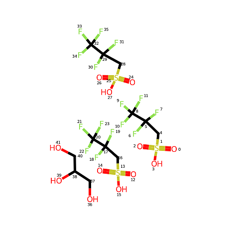 O=S(=O)(O)CC(F)(F)C(F)(F)F.O=S(=O)(O)CC(F)(F)C(F)(F)F.O=S(=O)(O)CC(F)(F)C(F)(F)F.OCC(O)CO